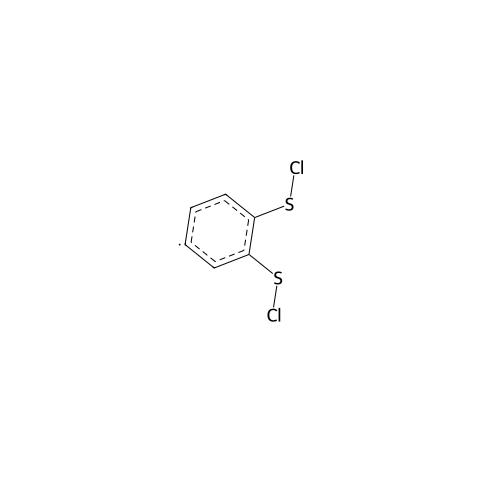 ClSc1c[c]ccc1SCl